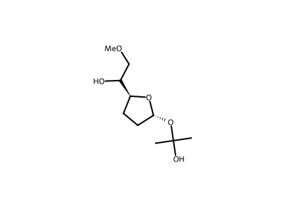 COCC(O)[C@@H]1CC[C@@H](OC(C)(C)O)O1